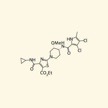 CCOC(=O)c1sc(N2CC[C@@H](NC(=O)c3[nH]c(C)c(Cl)c3Cl)[C@@H](OC)C2)nc1C(=O)NC1CC1